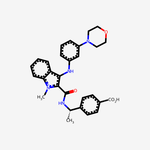 C[C@H](NC(=O)c1c(Nc2cccc(N3CCOCC3)c2)c2ccccc2n1C)c1ccc(C(=O)O)cc1